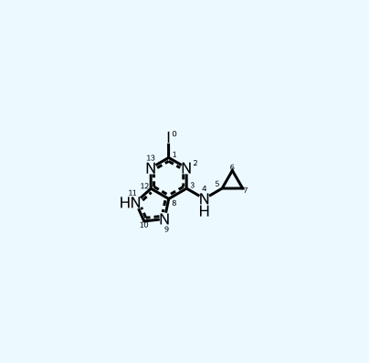 Ic1nc(NC2CC2)c2nc[nH]c2n1